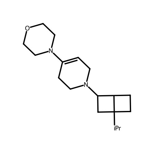 CC(C)C12CCC1C(N1CC=C(N3CCOCC3)CC1)C2